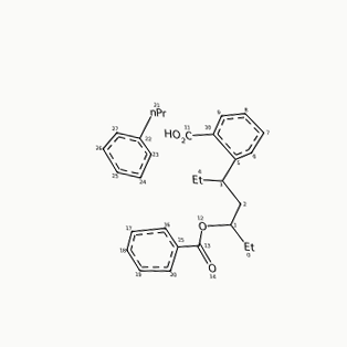 CCC(CC(CC)c1ccccc1C(=O)O)OC(=O)c1ccccc1.CCCc1ccccc1